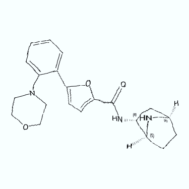 O=C(N[C@@H]1C[C@H]2CC[C@@H]1N2)c1ccc(-c2ccccc2N2CCOCC2)o1